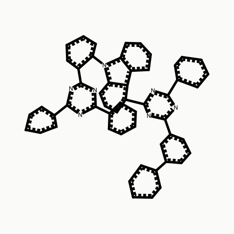 c1ccc(-c2cccc(-c3nc(-c4ccccc4)nc(-c4cccc5c4c4ccccc4n5-c4ccccc4-c4nc(-c5ccccc5)nc(-c5ccccc5)n4)n3)c2)cc1